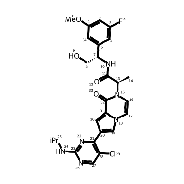 COc1cc(F)cc([C@@H](CO)NC(=O)[C@@H](C)n2ccn3cc(-c4nc(NC(C)C)ncc4Cl)cc3c2=O)c1